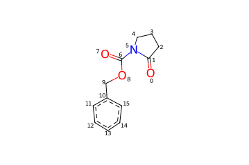 O=C1CCCN1C(=O)OCc1ccccc1